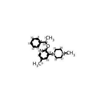 Cc1cnc(O[C@@H](C)c2ccccc2)c(N2CCN(C)CC2)c1